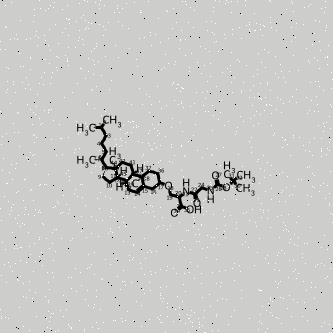 CC(C)CCC[C@@H](C)[C@H]1CC[C@H]2[C@@H]3CC=C4CC(OCC(NC(=O)CNC(=O)OC(C)(C)C)C(=O)O)CC[C@]4(C)[C@H]3CC[C@]12C